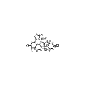 Cc1ccc(-c2cc(=O)n(C)c3ccc(C(N)(c4ccc(Cl)cc4)c4cncn4C)cc23)s1